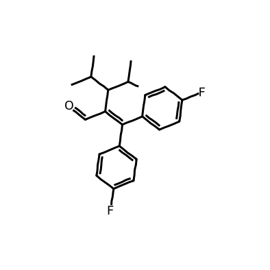 CC(C)C(C(C=O)=C(c1ccc(F)cc1)c1ccc(F)cc1)C(C)C